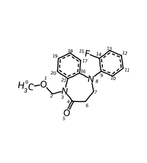 COCN1C(=O)CCN(c2ccccc2F)c2ccccc21